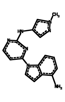 Cn1cc(Nc2nccc(-n3ccc4c(N)cccc43)n2)cn1